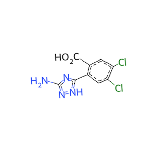 Nc1n[nH]c(-c2cc(Cl)c(Cl)cc2C(=O)O)n1